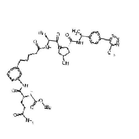 Cc1ncsc1-c1ccc([C@H](C)NC(=O)[C@@H]2C[C@@H](O)CN2C(=O)[C@@H](NC(=O)CCCCc2cccc(NC(=O)[C@H](CCC(N)=O)NC(=O)OC(C)(C)C)c2)C(C)(C)C)cc1